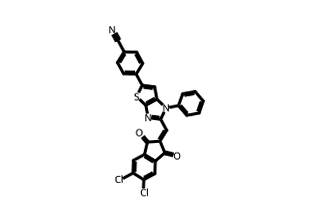 N#Cc1ccc(-c2cc3c(nc(C=C4C(=O)c5cc(Cl)c(Cl)cc5C4=O)n3-c3ccccc3)s2)cc1